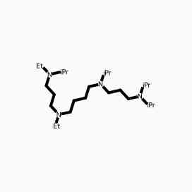 CCN(CCCCN(CCCN(C(C)C)C(C)C)C(C)C)CCCN(CC)C(C)C